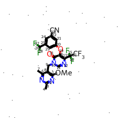 COc1nc(C)nc(C)c1Cn1cnc(C(F)(F)C(F)(F)F)c(Oc2cc(C#N)cc(C(F)F)c2)c1=O